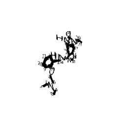 CCN(CC)CCOc1ccccc1CNc1ncnc2cc3c(cc12)[nH]c(=O)n3CC